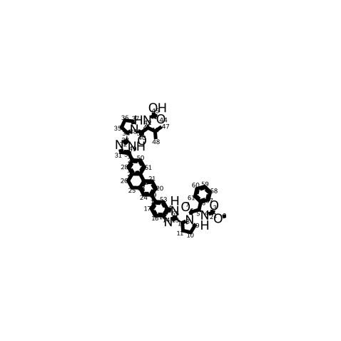 COC(=O)N[C@@H](C(=O)N1CCC[C@H]1c1nc2ccc(-c3ccc4c(c3)CCc3cc(-c5cnc([C@@H]6CCCN6C(=O)[C@@H](NC(=O)O)C(C)C)[nH]5)ccc3-4)cc2[nH]1)c1ccccc1